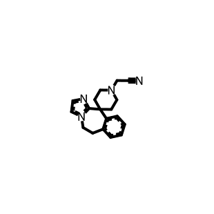 N#CCN1CCC2(CC1)c1ccccc1CCn1ccnc12